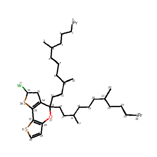 CC(C)CCCC(C)CCCC(C)CCC1(CCC(C)CCCC(C)CCCC(C)C)Oc2ccsc2C2=C1CC(Br)S2